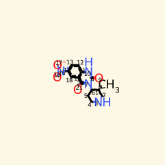 CC1CNCCC1n1c(=O)[nH]c2ccc([N+](=O)[O-])cc2c1=O